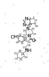 C[C@@H]1CCc2ncnc(N3CCN(C(=O)[C@H](CCNC4CCCCC4)c4ccc(Cl)cc4)CC3)c21